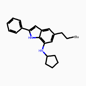 CC(C)(C)CCc1cc(NC2CCCC2)c2[nH]c(-c3ccccc3)cc2c1